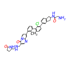 Cc1c(-c2ccn3c(=O)c(CNCC4CCC(=O)N4)cnc3c2)cccc1-c1cccc(-c2ccc3c(c2)CC(NC(=O)CN)C3)c1Cl